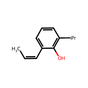 C/C=C\c1cccc(C(C)C)c1O